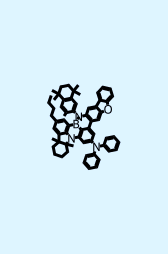 CCCCc1cc2c3c(c1)C1(C)CCCCC1(C)N3c1cc(N(c3ccccc3)c3ccccc3)cc3c1B2N(c1cc2c(cc1C)C(C)(C)CCC2(C)C)c1cc2c(cc1-3)oc1ccccc12